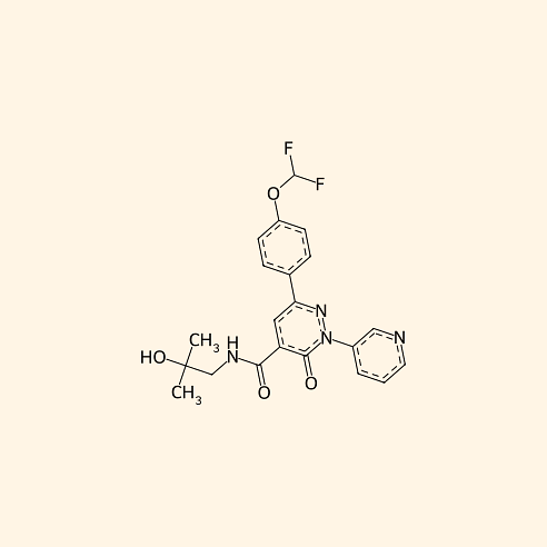 CC(C)(O)CNC(=O)c1cc(-c2ccc(OC(F)F)cc2)nn(-c2cccnc2)c1=O